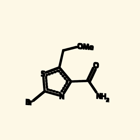 COCc1sc(Br)nc1C(N)=O